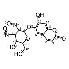 O=NC1C(Oc2cc3ccc(=O)oc3cc2O)OC(CO)C(O)C1N=O